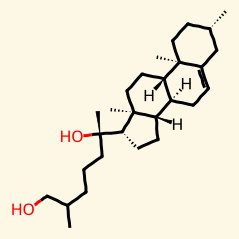 CC(CO)CCC[C@](C)(O)[C@H]1CC[C@H]2[C@@H]3CC=C4C[C@@H](C)CC[C@]4(C)[C@H]3CC[C@@]21C